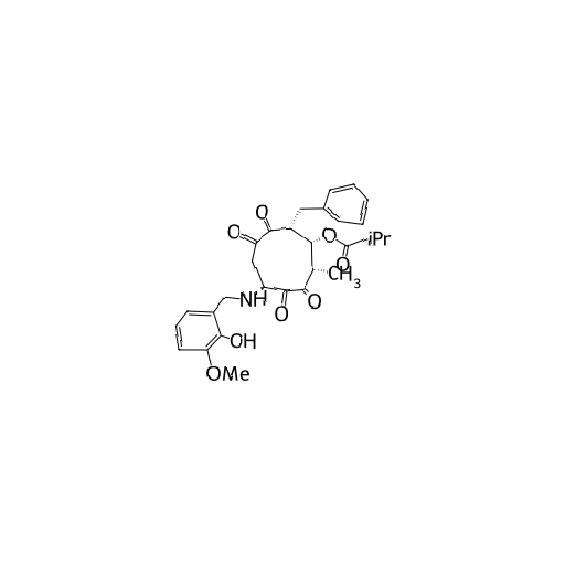 COc1cccc(CN[C@H]2CC(=O)C(=O)[C@H](Cc3ccccc3)[C@H](OC(=O)C(C)C)[C@H](C)C(=O)C2=O)c1O